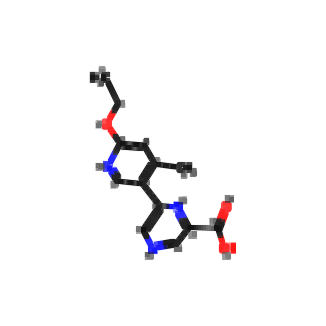 CCOc1cc(C)c(-c2cncc(C(=O)O)n2)cn1